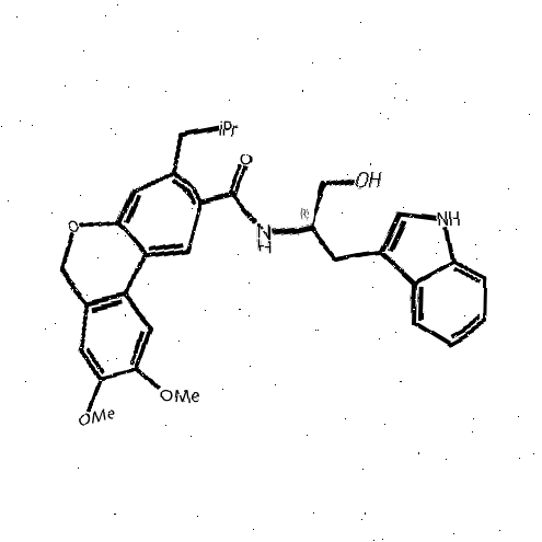 COc1cc2c(cc1OC)-c1cc(C(=O)N[C@@H](CO)Cc3c[nH]c4ccccc34)c(CC(C)C)cc1OC2